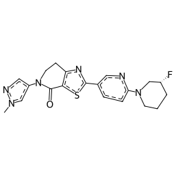 Cn1cc(N2CCc3nc(-c4ccc(N5CCC[C@@H](F)C5)nc4)sc3C2=O)cn1